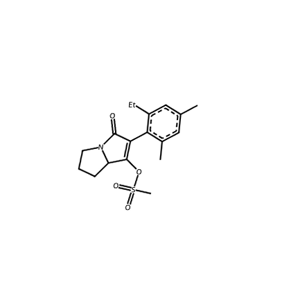 CCc1cc(C)cc(C)c1C1=C(OS(C)(=O)=O)C2CCCN2C1=O